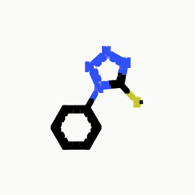 [S]c1nnnn1-c1ccccc1